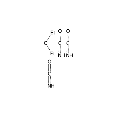 CCOCC.N=C=O.N=C=O.N=C=O